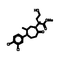 COC(=O)[C@H](CCO)N1CC(C)N(c2ccc(Cl)c(Cl)c2)CCC1=O